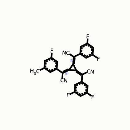 Cc1cc(F)cc(/C(C#N)=C2/C(=C(C#N)c3cc(F)cc(F)c3)/C2=C(/C#N)c2cc(F)cc(F)c2)c1